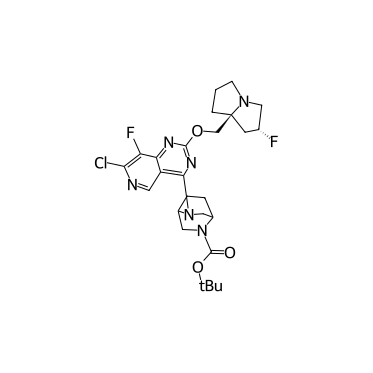 CC(C)(C)OC(=O)N1CC2CCC1CN2c1nc(OC[C@@]23CCCN2C[C@H](F)C3)nc2c(F)c(Cl)ncc12